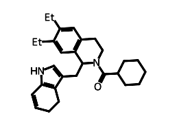 CCc1cc2c(cc1CC)C(Cc1c[nH]c3c1CCC=C3)N(C(=O)C1CCCCC1)CC2